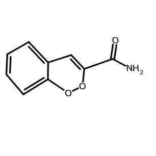 NC(=O)C1=Cc2ccccc2OO1